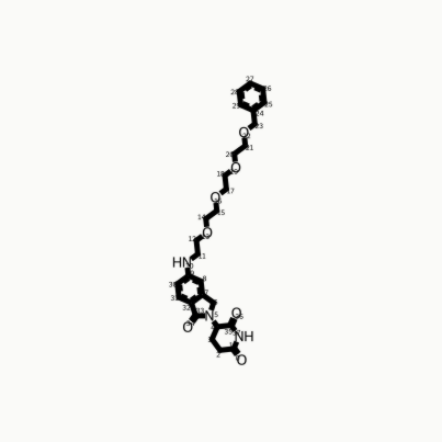 O=C1CCC(N2Cc3cc(NCCOCCOCCOCCOCc4ccccc4)ccc3C2=O)C(=O)N1